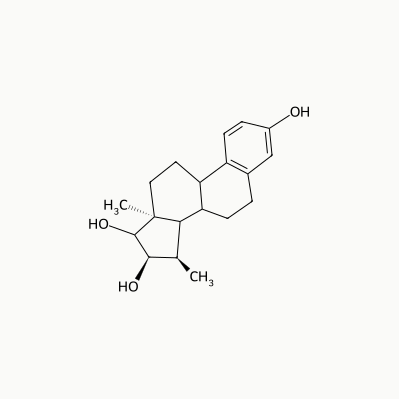 C[C@@H]1C2C3CCc4cc(O)ccc4C3CC[C@]2(C)C(O)[C@@H]1O